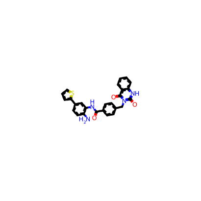 Nc1ccc(-c2cccs2)cc1NC(=O)c1ccc(Cn2c(=O)[nH]c3ccccc3c2=O)cc1